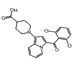 O=C(c1c(Cl)cccc1Cl)c1cc(N2CCC(C(=O)O)CC2)c2ccccn12